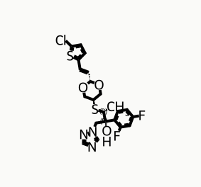 C[C@@H](S[C@H]1CO[C@H](C=Cc2ccc(Cl)s2)OC1)[C@](O)(Cn1cncn1)c1ccc(F)cc1F